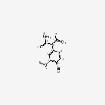 COc1cc(C(C(C)=O)C(N)=O)ccc1Br